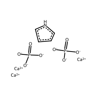 O=P([O-])([O-])[O-].O=P([O-])([O-])[O-].[Ca+2].[Ca+2].[Ca+2].c1cc[nH]c1